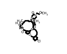 COCCN1CCN(C[C@]2(OC)/C=C/C[C@H](C)[C@@H](C)S(=O)(=O)NC(=O)c3ccc4c(c3)N(CCCCc3cc(Cl)ccc3CO4)C[C@@H]3CC[C@H]32)CC1=O